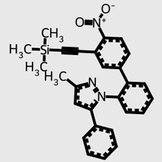 Cc1cc(-c2ccccc2)n(-c2ccccc2-c2ccc([N+](=O)[O-])c(C#C[Si](C)(C)C)c2)n1